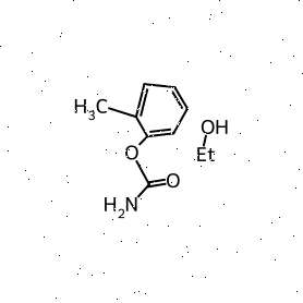 CCO.Cc1ccccc1OC(N)=O